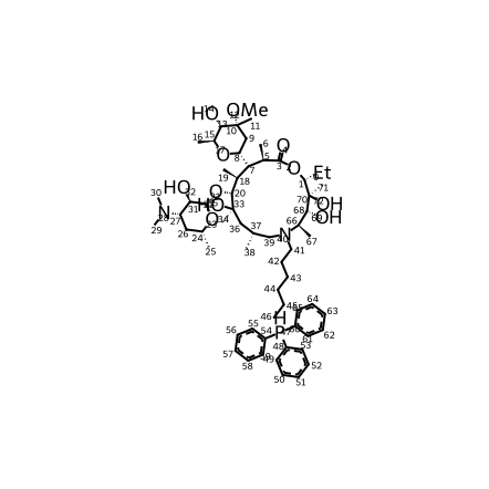 CC[C@H]1OC(=O)[C@H](C)C([C@H]2C[C@@](C)(OC)[C@@H](O)[C@H](C)O2)[C@H](C)[C@@H](O[C@@H]2O[C@H](C)C[C@H](N(C)C)[C@H]2O)[C@](C)(O)C[C@@H](C)CN(CCCCCC[PH](c2ccccc2)(c2ccccc2)c2ccccc2)[C@H](C)[C@@H](O)[C@]1(C)O